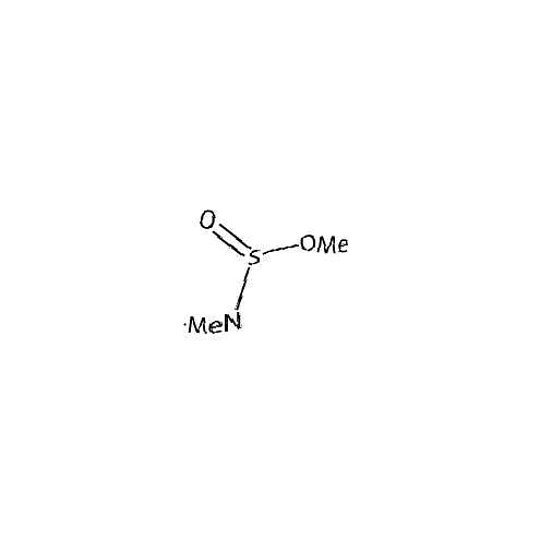 C[N]S(=O)OC